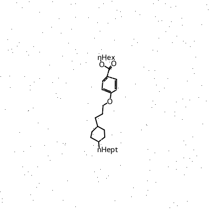 CCCCCCCC1CCC(CCCOc2ccc(C(=O)OCCCCCC)cc2)CC1